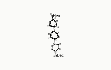 CCCCCCCCCCC1CCC(c2ccc(-c3ccc(CCCCCC)cc3)cc2)CC1